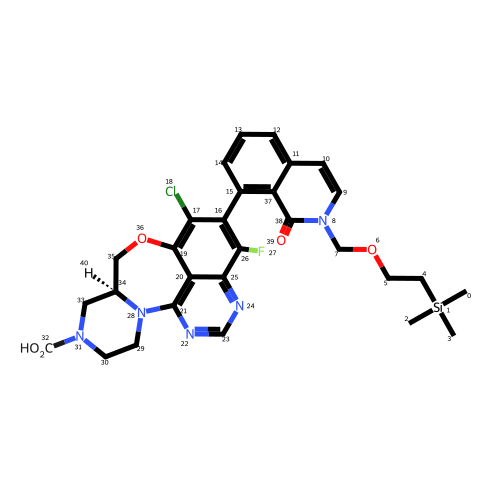 C[Si](C)(C)CCOCn1ccc2cccc(-c3c(Cl)c4c5c(ncnc5c3F)N3CCN(C(=O)O)C[C@H]3CO4)c2c1=O